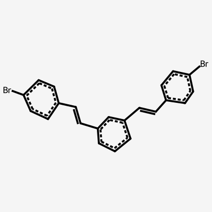 Brc1ccc(/C=C/c2cccc(/C=C/c3ccc(Br)cc3)c2)cc1